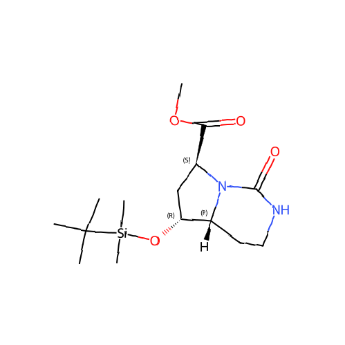 COC(=O)[C@@H]1C[C@@H](O[Si](C)(C)C(C)(C)C)[C@H]2CCNC(=O)N21